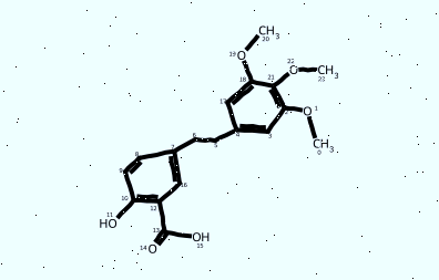 COc1cc(CCc2ccc(O)c(C(=O)O)c2)cc(OC)c1OC